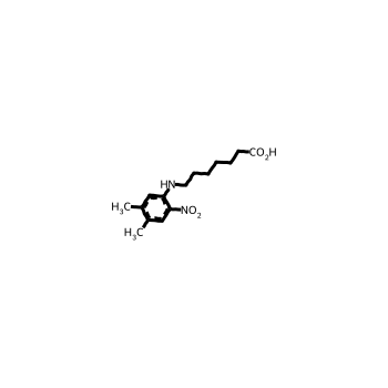 Cc1cc(NCCCCCCC(=O)O)c([N+](=O)[O-])cc1C